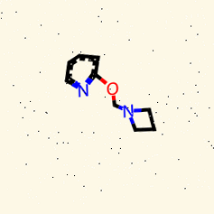 c1ccc(OCN2CCC2)nc1